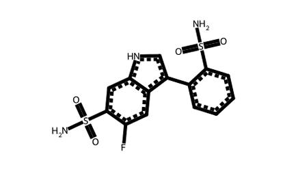 NS(=O)(=O)c1cc2[nH]cc(-c3ccccc3S(N)(=O)=O)c2cc1F